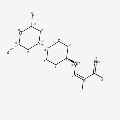 CC(=N)/C(C)=C\N[C@H]1CC[C@H](N2C[C@@H](C)O[C@@H](C)C2)CC1